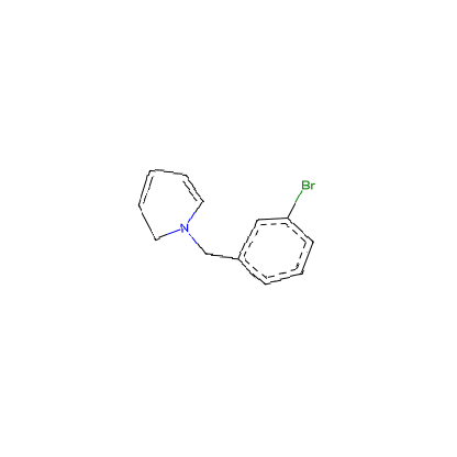 Brc1cccc(CN2C=CC=CC2)c1